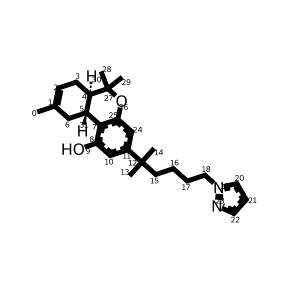 CC1=CC[C@@H]2[C@@H](C1)c1c(O)cc(C(C)(C)CCCCn3cccn3)cc1OC2(C)C